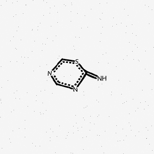 N=c1ncncs1